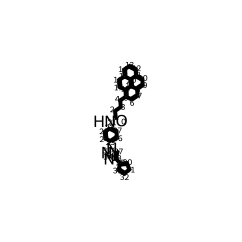 O=C(CCCc1ccc2ccc3cccc4ccc1c2c34)Nc1ccc(-n2cc(C3=CCC=C3)nn2)cc1